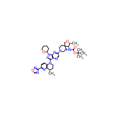 C[C@@H]1CCN(c2nn(C3CCCCO3)c3nc(N4CCC5(CC4)CO[C@@H](C)[C@H]5NC(=O)OC(C)(C)C)cnc23)c2ccc(-c3ncon3)nc21